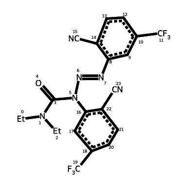 CCN(CC)C(=O)N(N=Nc1cc(C(F)(F)F)ccc1C#N)c1cc(C(F)(F)F)ccc1C#N